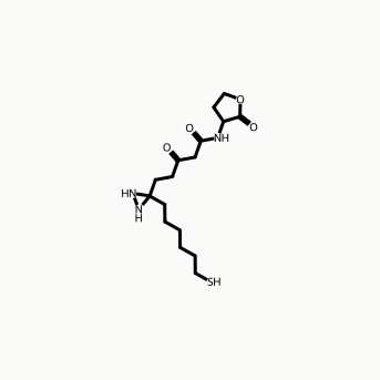 O=C(CCC1(CCCCCCS)NN1)CC(=O)NC1CCOC1=O